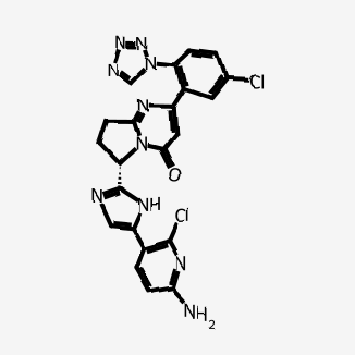 Nc1ccc(-c2cnc([C@@H]3CCc4nc(-c5cc(Cl)ccc5-n5cnnn5)cc(=O)n43)[nH]2)c(Cl)n1